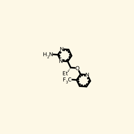 CC[C@@H](Oc1ncccc1C(F)(F)F)c1ccnc(N)n1